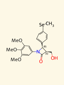 COc1cc(N2C(=O)[C@H](CO)[C@@H]2c2ccc([Se]C)cc2)cc(OC)c1OC